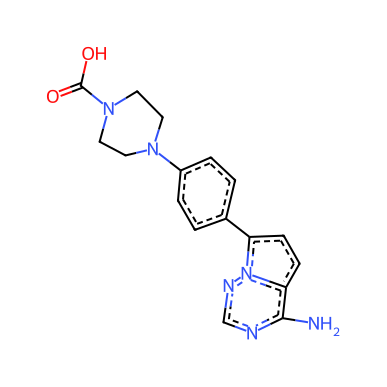 Nc1ncnn2c(-c3ccc(N4CCN(C(=O)O)CC4)cc3)ccc12